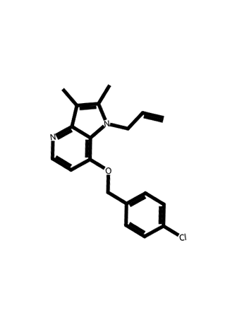 C=CCn1c(C)c(C)c2nccc(OCc3ccc(Cl)cc3)c21